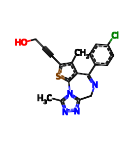 Cc1c(C#CCO)sc2c1C(c1ccc(Cl)cc1)=NCc1nnc(C)n1-2